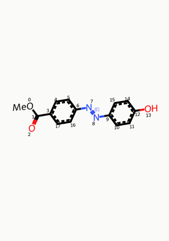 COC(=O)c1ccc(/N=N/c2ccc(O)cc2)cc1